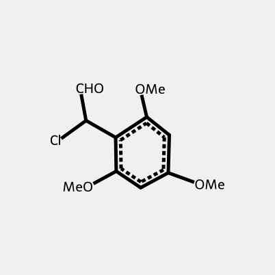 COc1cc(OC)c(C(Cl)C=O)c(OC)c1